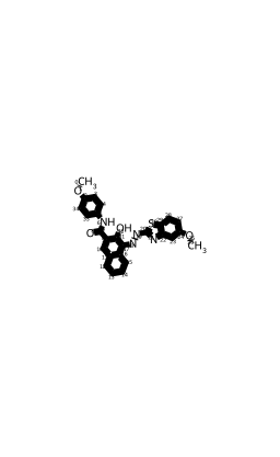 COc1ccc(NC(=O)c2cc3ccccc3c(/N=N/c3nc4cc(OC)ccc4s3)c2O)cc1